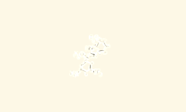 CN(c1cc(C(F)(F)F)cc(C(F)(F)F)c1)c1nc2cccc(C(F)(F)F)c2[nH]1